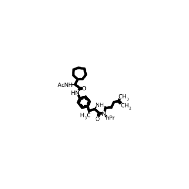 C=C(C)CCCN(CCC)C(=O)[C@H](N)[C@@H](C)c1ccc(NC(=O)[C@@H](NC(C)=O)C2CCCCCC2)cc1